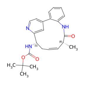 C[C@@H]1C=CC[C@H](NC(=O)OC(C)(C)C)c2cc(ccn2)-c2ccccc2NC1=O